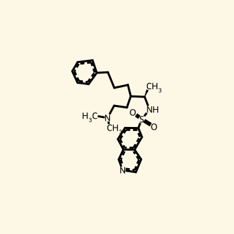 C[C@@H](NS(=O)(=O)c1ccc2cnccc2c1)C(CCCc1ccccc1)CCN(C)C